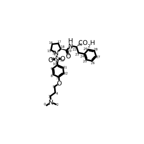 CN(C)CCCOc1ccc(S(=O)(=O)N2CCC[C@H]2C(=O)N[C@@H](Cc2ccccc2)C(=O)O)cc1